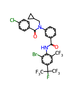 O=C(Nc1c(Br)cc(C(F)(C(F)(F)F)C(F)(F)F)cc1C(F)(F)F)c1cccc(N(CC2CC2)C(=O)c2ccc(Cl)cc2)c1